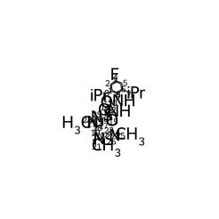 CC(C)c1cc(F)cc(C(C)C)c1NC(=O)NS(=O)(=O)c1cc(CN(C)C2CN(C)C2)n(C)n1